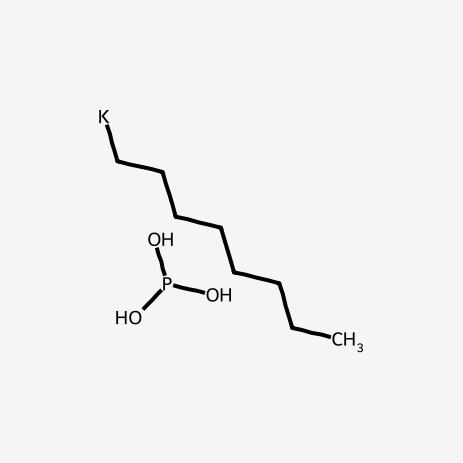 CCCCCCC[CH2][K].OP(O)O